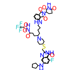 O=C(CCC(CCCCNc1cccc2c1C(=O)N(C1CCC(=O)NC1=O)C2=O)N1CCC(SCc2nc3cc(NC4CCCC4)cc(F)c3c(=O)[nH]2)CC1)NOC(=O)C(F)(F)F